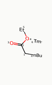 CCCCCC(=O)OCC.[Tm]